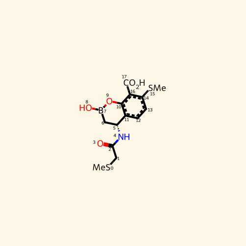 CSCC(=O)N[C@@H]1CB(O)Oc2c1ccc(SC)c2C(=O)O